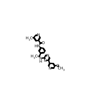 COc1cncc(-c2cncc(N[C@@H](C)c3cccc(NC(=O)c4cncc(C)c4)c3)n2)c1